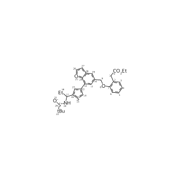 CCOC(=O)Cc1ccccc1OCc1cc(-c2csc(C(CC)N[S+]([O-])C(C)(C)C)c2)c2occc2c1